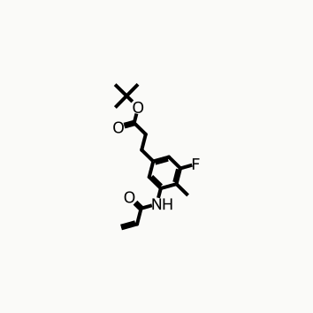 C=CC(=O)Nc1cc(CCC(=O)OC(C)(C)C)cc(F)c1C